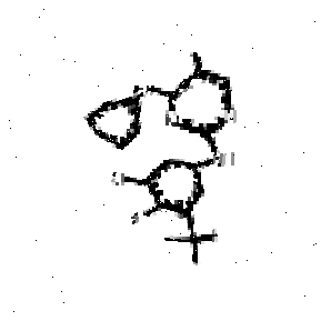 Cc1cnc(Nc2cc(Cl)c(Br)c(C(C)(C)C)c2)nc1Nc1ccccc1